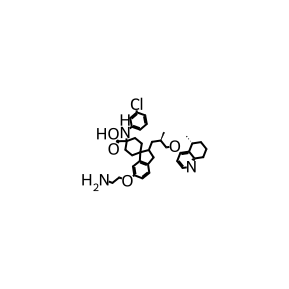 C[C@@H](COc1ccnc2c1[C@H](C)CCC2)CC1Cc2ccc(OCCN)cc2C12CCC(Nc1cccc(Cl)c1)(C(=O)O)CC2